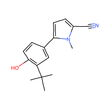 Cn1c(C#N)ccc1-c1ccc(O)c(C(C)(C)C)c1